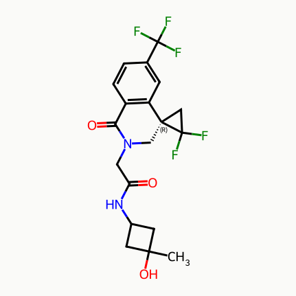 CC1(O)CC(NC(=O)CN2C[C@@]3(CC3(F)F)c3cc(C(F)(F)F)ccc3C2=O)C1